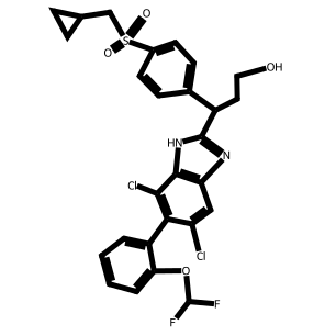 O=S(=O)(CC1CC1)c1ccc(C(CCO)c2nc3cc(Cl)c(-c4ccccc4OC(F)F)c(Cl)c3[nH]2)cc1